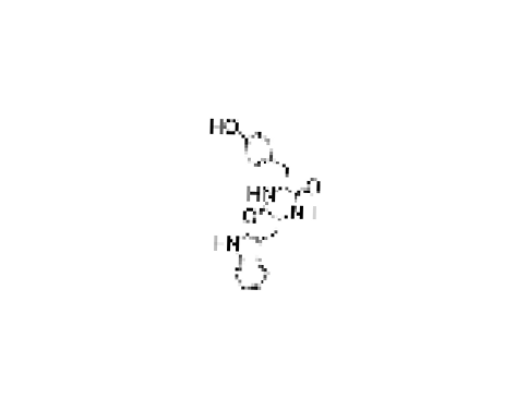 O=C1N[C@@H](Cc2c[nH]c3ccccc23)C(=O)N[C@H]1Cc1ccc(O)cc1